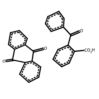 O=C(O)c1ccccc1C(=O)c1ccccc1.O=C1c2ccccc2C(=O)c2ccccc21